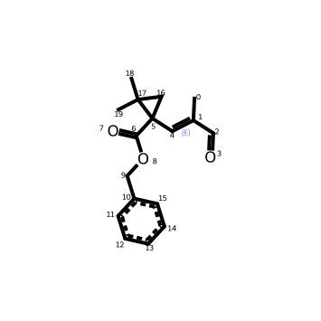 C/C(C=O)=C\C1(C(=O)OCc2ccccc2)CC1(C)C